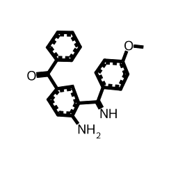 COc1ccc(C(=N)c2cc(C(=O)c3ccccc3)ccc2N)cc1